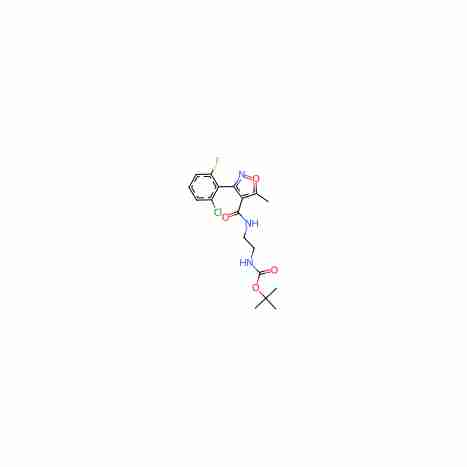 Cc1onc(-c2c(F)cccc2Cl)c1C(=O)NCCNC(=O)OC(C)(C)C